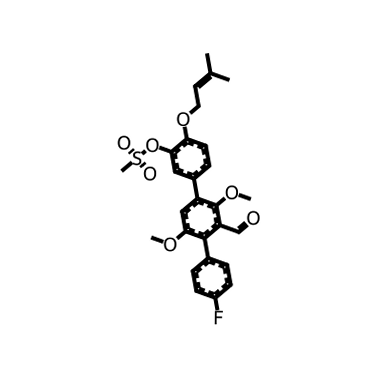 COc1cc(-c2ccc(OCC=C(C)C)c(OS(C)(=O)=O)c2)c(OC)c(C=O)c1-c1ccc(F)cc1